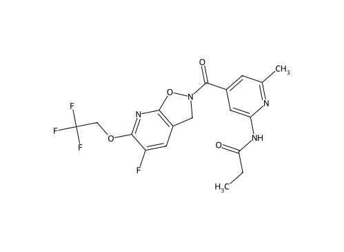 CCC(=O)Nc1cc(C(=O)N2Cc3cc(F)c(OCC(F)(F)F)nc3O2)cc(C)n1